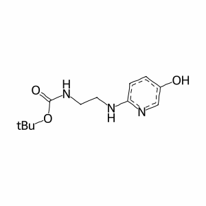 CC(C)(C)OC(=O)NCCNc1ccc(O)cn1